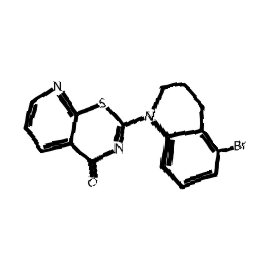 O=c1nc(N2CCCc3c(Br)cccc32)sc2ncccc12